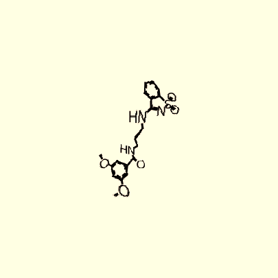 COc1cc(OC)cc(C(=O)NCCCNC2=NS(=O)(=O)c3ccccc32)c1